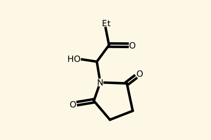 CCC(=O)C(O)N1C(=O)CCC1=O